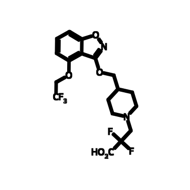 O=C(O)C(F)(F)CN1CCC(COc2noc3cccc(OCC(F)(F)F)c23)CC1